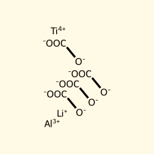 O=C([O-])[O-].O=C([O-])[O-].O=C([O-])[O-].O=C([O-])[O-].[Al+3].[Li+].[Ti+4]